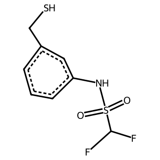 O=S(=O)(Nc1cccc(CS)c1)C(F)F